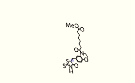 COC(=O)CCCCCCC(=O)N1CCOc2ccc(/C=C3/SC(=S)NC3=O)cc21